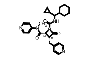 CN(C(=O)[C@@H]1[C@@H](Cc2ccncc2)C(=O)N1C(=O)NC(C1CCCCC1)C1CC1)c1ccncc1